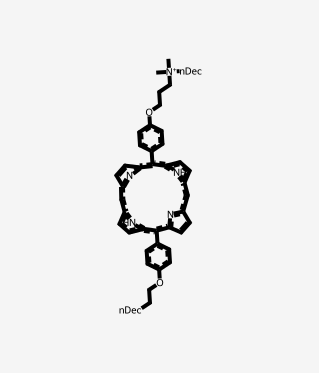 CCCCCCCCCCCCOc1ccc(-c2c3nc(cc4ccc([nH]4)c(-c4ccc(OCCC[N+](C)(C)CCCCCCCCCC)cc4)c4nc(cc5ccc2[nH]5)C=C4)C=C3)cc1